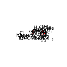 CC[C@H]1OC(=O)[C@H](C)[C@@H](O[C@H]2C[C@@](C)(OC)[C@@H](OC(C)=O)[C@H](C)O2)[C@H](C)[C@@H](O[C@@H]2O[C@H](C)C[C@H](N(C)C(C)=O)[C@H]2OC(C)=O)[C@](C)(OC)C[C@@H](C)C(=O)[C@H](C)[C@H]2C(SCCOc3cc(C(=O)Nc4c(Cl)cncc4Cl)ccc3OC)C(=O)O[C@@]21C